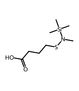 CN(SCCCC(=O)O)[Si](C)(C)C